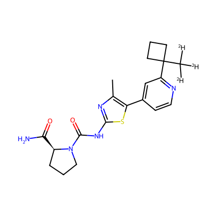 [2H]C([2H])([2H])C1(c2cc(-c3sc(NC(=O)N4CCC[C@H]4C(N)=O)nc3C)ccn2)CCC1